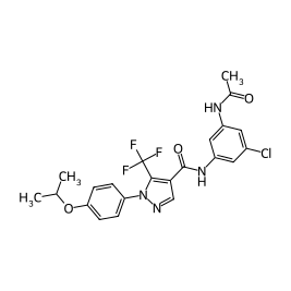 CC(=O)Nc1cc(Cl)cc(NC(=O)c2cnn(-c3ccc(OC(C)C)cc3)c2C(F)(F)F)c1